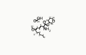 CCCC[C@H](C)/C(=C\C=C\[C@H](N)C(=O)O[C@@H]1CCCOC1)OC.O=CO